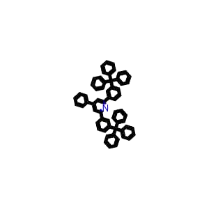 c1ccc(-c2cc(-c3cccc(C(c4ccccc4)(c4ccccc4)c4ccccc4)c3)nc(-c3cccc(C(c4ccccc4)(c4ccccc4)c4ccccc4)c3)c2)cc1